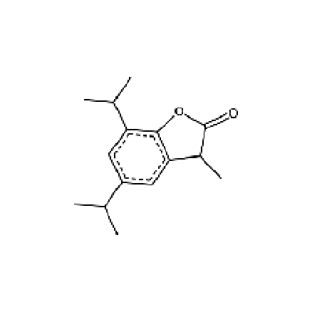 CC(C)c1cc(C(C)C)c2c(c1)C(C)C(=O)O2